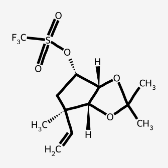 C=C[C@@]1(C)C[C@H](OS(=O)(=O)C(F)(F)F)[C@@H]2OC(C)(C)O[C@@H]21